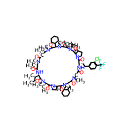 CC[C@H](C)[C@@H]1NC(=O)[C@H](C)N(C)C(=O)C[C@@H](C)N(C)C(=O)C(C2CCCCC2)N(C)C(=O)C(C)(C)N(C)C(=O)[C@@H]2CCCN2C(=O)[C@H](CCc2ccc(C(F)(F)F)c(Cl)c2)NC(=O)CN(C)C(=O)[C@H](CC2CCCCC2)N(C)C(=O)[C@@H]2CCN2C(=O)[C@H](C)N(C)C1=O